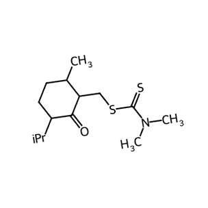 CC(C)C1CCC(C)C(CSC(=S)N(C)C)C1=O